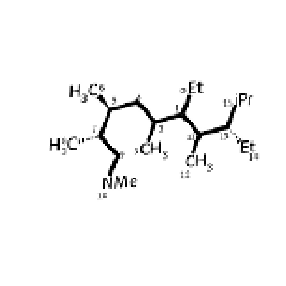 CCC(C(C)C[C@H](C)[C@@H](C)CNC)C(C)[C@@H](CC)C(C)C